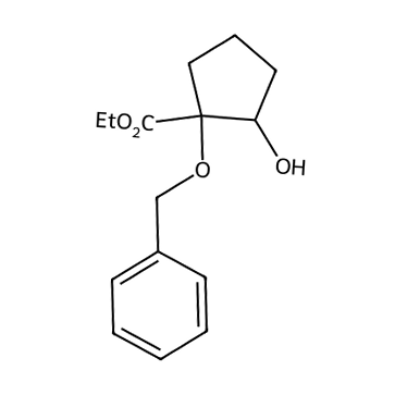 CCOC(=O)C1(OCc2ccccc2)CCCC1O